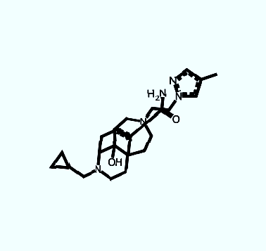 Cc1cnn(CCN2CCC34CCN(CC5CC5)C(Cc5ccc(C(N)=O)cc53)C4(O)CC2)c1